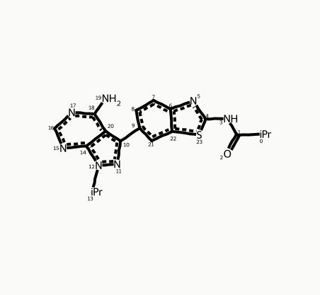 CC(C)C(=O)Nc1nc2ccc(-c3nn(C(C)C)c4ncnc(N)c34)cc2s1